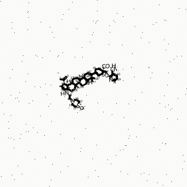 C=C(C)[C@@H]1CC[C@]2(NCCN3CC[S+]([O-])CC3)CC[C@]3(C)[C@H](CC[C@@H]4[C@@]5(C)CC=C(C6=CC[C@@](COc7ncccc7C#N)(C(=O)O)CC6)C(C)(C)[C@@H]5CC[C@]43C)[C@@H]12